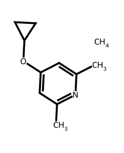 C.Cc1cc(OC2CC2)cc(C)n1